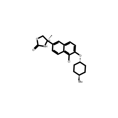 CC(C)(C)[C@H]1CC[C@H](Oc2ccc3cc([C@]4(C)COC(=O)N4)ccc3c2Cl)CC1